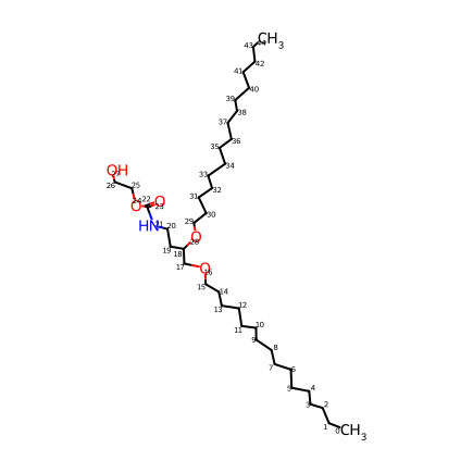 CCCCCCCCCCCCCCCCOCC(CCNC(=O)OCCO)OCCCCCCCCCCCCCCCC